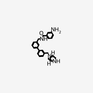 Nc1cccc(C(=O)NCc2cccc(-c3cccc(CN4C[C@@H]5C[C@H]4CN5)c3)c2)c1